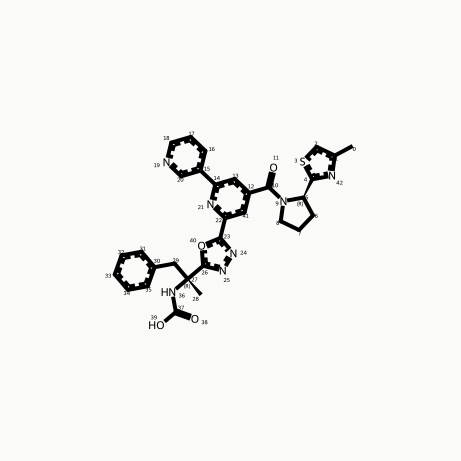 Cc1csc([C@H]2CCCN2C(=O)c2cc(-c3cccnc3)nc(-c3nnc([C@@](C)(Cc4ccccc4)NC(=O)O)o3)c2)n1